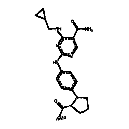 CNC(=O)[C@@H]1CCCN1c1ccc(Nc2ncc(C(N)=O)c(NCC3CC3)n2)cc1